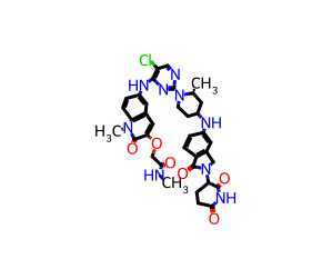 CNC(=O)COc1cc2cc(Nc3nc(N4CCC(Nc5ccc6c(c5)CN(C5CCC(=O)NC5=O)C6=O)C[C@@H]4C)ncc3Cl)ccc2n(C)c1=O